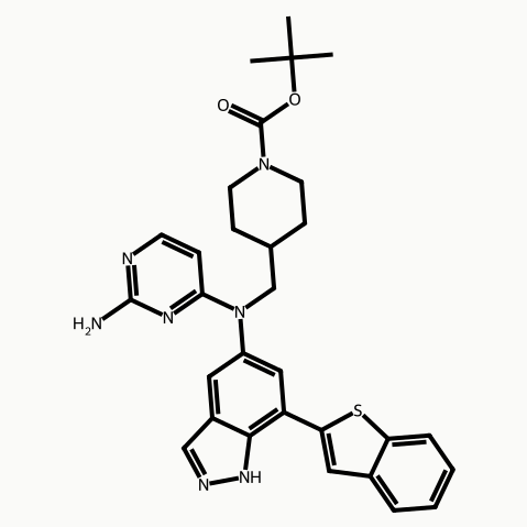 CC(C)(C)OC(=O)N1CCC(CN(c2cc(-c3cc4ccccc4s3)c3[nH]ncc3c2)c2ccnc(N)n2)CC1